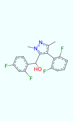 Cc1nn(C)c(C(O)c2ccc(F)cc2F)c1-c1c(F)cccc1F